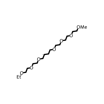 CCOCCOCCOC[CH]CCOCCOCCOCCOC